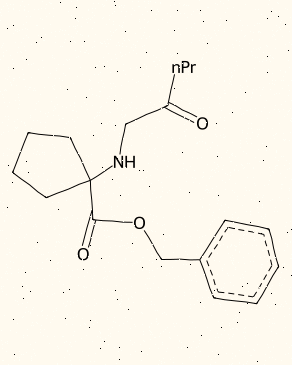 CCCC(=O)CNC1(C(=O)OCc2ccccc2)CCCC1